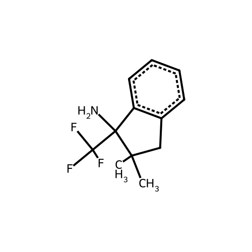 CC1(C)Cc2ccccc2C1(N)C(F)(F)F